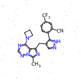 Cc1nc(Cc2cn[nH]c2-c2ccc(C(F)(F)F)cc2C#N)c2c(N3CCC3)ncnn12